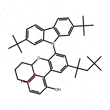 CC(C)(C)CC(C)(C)c1cc(-c2cc(F)ccc2O)c(OC2CCCCO2)c(-n2c3cc(C(C)(C)C)ccc3c3ccc(C(C)(C)C)cc32)c1